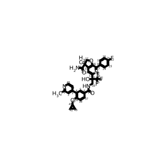 Cc1cc(-c2cc(C(=O)NCC(O)(c3cc4c(c(-c5ccc(F)cc5)n3)OC[C@]4(C)C(N)=O)C(F)(F)F)ccc2OC2CC2)ccn1